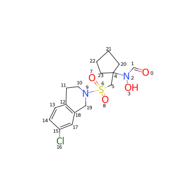 O=CN(O)C1(CS(=O)(=O)N2CCc3ccc(Cl)cc3C2)CCCC1